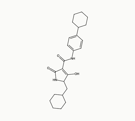 O=C(Nc1ccc(C2CCCCC2)cc1)C1=C(O)C(CC2CCCCC2)NC1=O